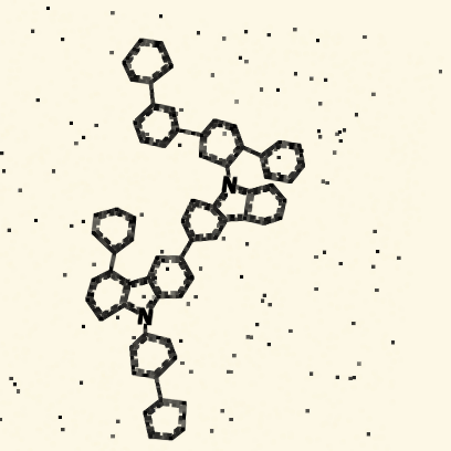 c1ccc(-c2ccc(-n3c4ccc(-c5ccc6c(c5)c5ccccc5n6-c5cc(-c6cccc(-c7ccccc7)c6)ccc5-c5ccccc5)cc4c4c(-c5ccccc5)cccc43)cc2)cc1